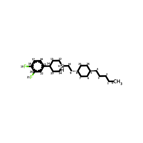 CCCCC[C@H]1CC[C@H](CC[SiH]2CCC(c3ccc(F)c(F)c3)CC2)CC1